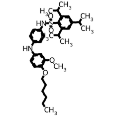 CCCCCCOc1ccc(Nc2ccc(NS(=O)(=O)c3c(C(C)C)cc(C(C)C)cc3C(C)C)cc2)cc1OC